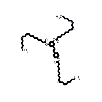 CCCCC/C=C\C/C=C\CCCCCCCC(=O)Oc1ccc(C=Cc2cc(OC(=O)CCCCCCC/C=C\C/C=C\CCCCC)cc(OC(=O)CCCCCCC/C=C\C/C=C\CCCCC)c2)cc1